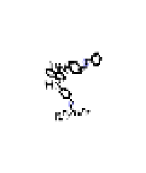 CCCC(/C=C/c1ccc(Nc2ccc(Nc3ccc(/C=C/c4ccccc4)cc3)c3ccccc23)cc1)CCC